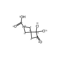 O=C(O)N1CC2(CC(=O)C2(Cl)Cl)C1